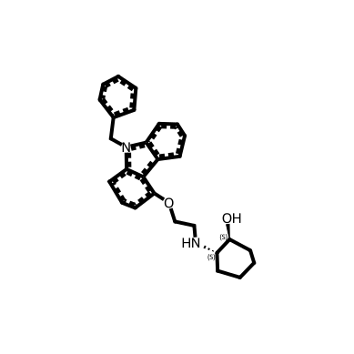 O[C@H]1CCCC[C@@H]1NCCOc1cccc2c1c1ccccc1n2Cc1ccccc1